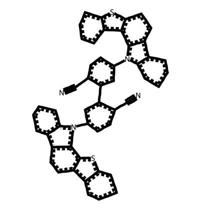 N#Cc1ccc(-n2c3ccccc3c3ccc4c5ccccc5sc4c32)cc1-c1cc(-n2c3ccccc3c3ccc4sc5ccccc5c4c32)ccc1C#N